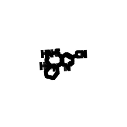 N#Cc1cnc2c(c1)SNC[C@H]1CCCCN21